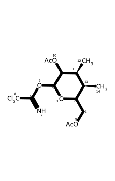 CC(=O)OCC1OC(OC(=N)C(Cl)(Cl)Cl)C(OC(C)=O)[C@@H](C)[C@H]1C